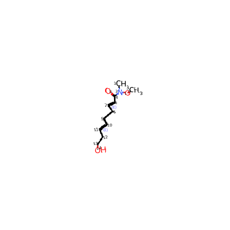 CON(C)C(=O)/C=C/CC/C=C/CCO